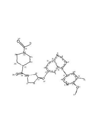 COc1ncc(-c2ccnc3ccc(O[C@H]4CCN(C(=O)C5CCN(C(C)=O)CC5)C4)cc23)cc1C